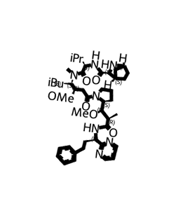 CC[C@H](C)[C@@H]([C@@H](CC(=O)N1CCC[C@H]1[C@H](OC)[C@@H](C)C(=O)N[C@H](CCc1ccccc1)c1ncccn1)OC)N(C)C(=O)[C@@H](NC(=O)[C@H]1N[C@@H]2CC[C@H]1C2)C(C)C